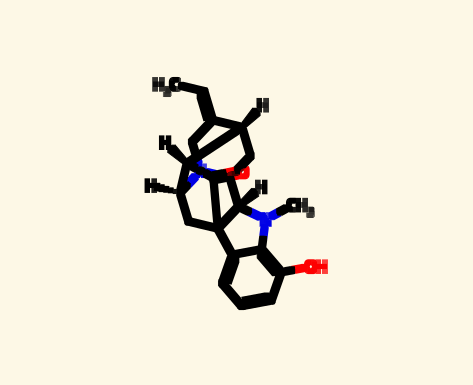 C/C=C1\CN2C3C[C@@H]1[C@@H]1C(=O)C4(C[C@@H]12)c1cccc(O)c1N(C)[C@@H]34